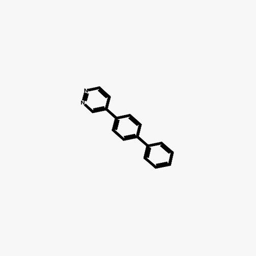 c1ccc(-c2ccc(-c3ccnnc3)cc2)cc1